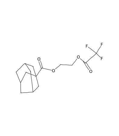 O=C(OCCOC(=O)C12CC3CC(CC(C3)C1)C2)C(F)(F)F